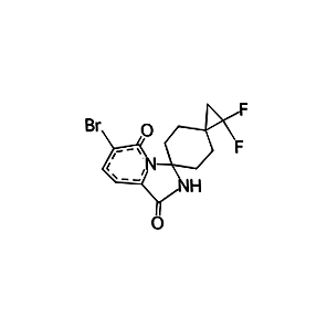 O=C1NC2(CCC3(CC2)CC3(F)F)n2c1ccc(Br)c2=O